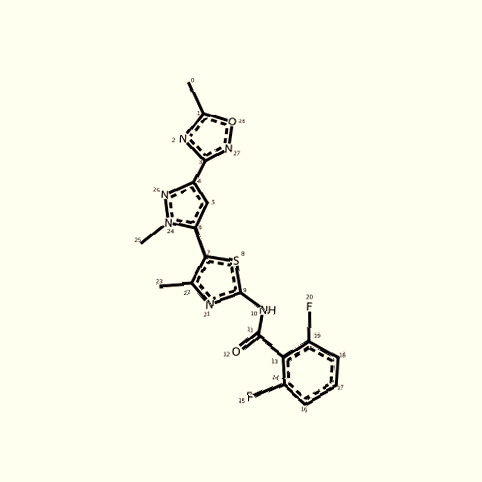 Cc1nc(-c2cc(-c3sc(NC(=O)c4c(F)cccc4F)nc3C)n(C)n2)no1